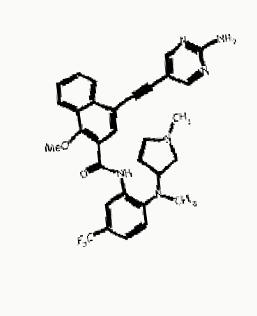 COc1c(C(=O)Nc2cc(C(F)(F)F)ccc2N(C)C2CCN(C)C2)cc(C#Cc2cnc(N)nc2)c2ccccc12